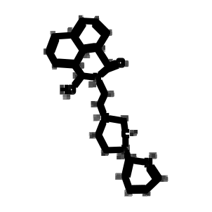 O=C1c2cccc3cccc(c23)C(O)N1CCN1CCN(c2ccccn2)CC1